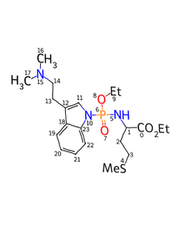 CCOC(=O)C(CCSC)NP(=O)(OCC)n1cc(CCN(C)C)c2ccccc21